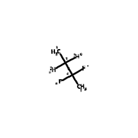 [2H]C([2H])(C)C(C)(F)F